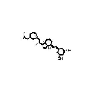 C[C@H](CN1CCC[C@H](CC(F)F)C1)[C@H]1CC[C@H]2/C(=C/C=C3C[C@@H](O)C[C@H](O)C3)CCC[C@]12C